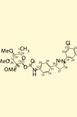 CO[C@@H]1[C@@H](OC)[C@H](C)O[C@@H](OC(=O)Nc2ccc(C3=NN(c4cccc(Cl)c4)CC3)cc2)[C@@H]1OC